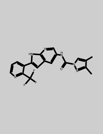 Cc1cn(C(=O)Nc2cnc3[nH]c(-c4cccnc4C(F)(F)F)cc3c2)nc1C